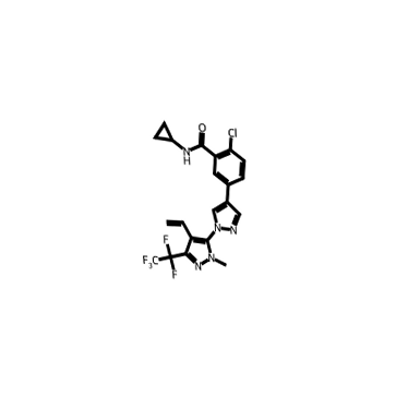 C=Cc1c(C(F)(F)C(F)(F)F)nn(C)c1-n1cc(-c2ccc(Cl)c(C(=O)NC3CC3)c2)cn1